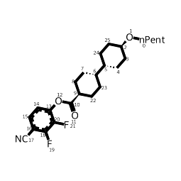 CCCCCO[C@H]1CC[C@H]([C@H]2CC[C@H](C(=O)Oc3ccc(C#N)c(F)c3F)CC2)CC1